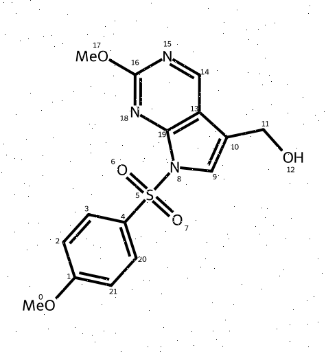 COc1ccc(S(=O)(=O)n2cc(CO)c3cnc(OC)nc32)cc1